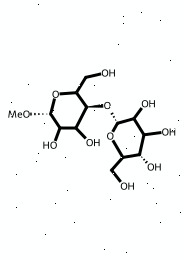 CO[C@@H]1OC(CO)[C@@H](O[C@H]2OC(CO)[C@@H](O)C(O)C2O)C(O)C1O